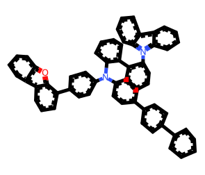 c1ccc(-c2ccc(-c3ccc(N(c4ccc(-c5cccc6c5oc5ccccc56)cc4)c4ccccc4-c4ccccc4-n4c5ccccc5c5ccccc54)cc3)cc2)cc1